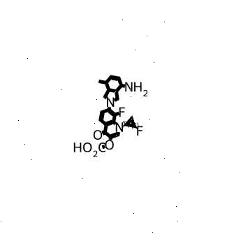 CC1C=CC(N)C2CN(c3ccc4c(=O)c(OC(=O)O)cn([C@@H]5C[C@@H]5F)c4c3F)CC12